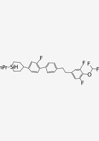 CCC[SiH]1CCC(c2ccc(-c3ccc(CCc4cc(F)c(OC(F)F)c(F)c4)cc3)c(F)c2)CC1